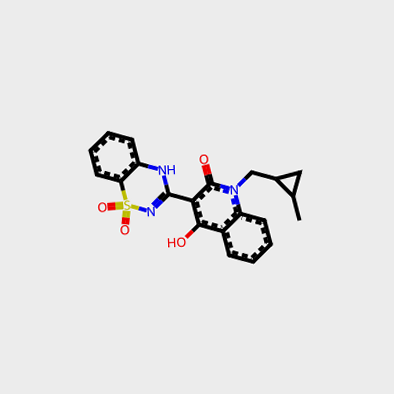 CC1CC1Cn1c(=O)c(C2=NS(=O)(=O)c3ccccc3N2)c(O)c2ccccc21